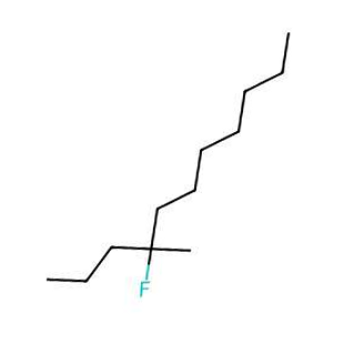 CCCCCCCC(C)(F)CCC